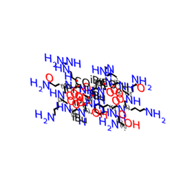 CC[C@H](C)[C@H](NC(=O)[C@H](Cc1c[nH]cn1)NC(=O)[C@H](CCC(N)=O)NC(=O)[C@H](CCCCN)NC(=O)[C@H](Cc1ccccc1)NC(=O)[C@@H](N)[C@@H](C)O)C(=O)N[C@@H](CCC(=O)O)C(=O)N[C@@H](CC(C)C)C(=O)N[C@@H](CCCNC(=N)N)C(=O)N[C@@H](CCC(N)=O)C(=O)N[C@@H](CCCCN)C(=O)N[C@H](C(=O)N[C@@H](CO)C(=O)N[C@H](C(=O)N[C@H](C(=O)O)C(C)C)[C@@H](C)CC)[C@@H](C)CC